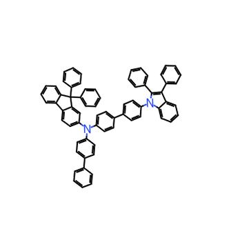 c1ccc(-c2ccc(N(c3ccc(-c4ccc(-n5c(-c6ccccc6)c(-c6ccccc6)c6ccccc65)cc4)cc3)c3ccc4c(c3)C(c3ccccc3)(c3ccccc3)c3ccccc3-4)cc2)cc1